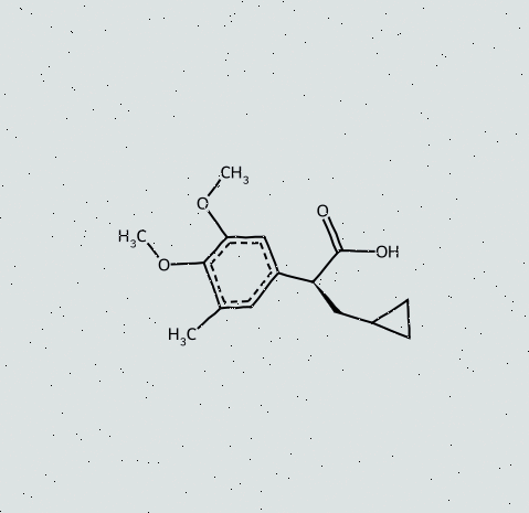 COc1cc([C@H](CC2CC2)C(=O)O)cc(C)c1OC